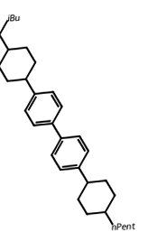 CCCCCC1CCC(c2ccc(-c3ccc(C4CCC(CC(C)CC)CC4)cc3)cc2)CC1